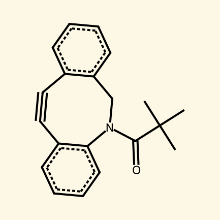 CC(C)(C)C(=O)N1Cc2ccccc2C#Cc2ccccc21